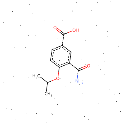 CC(C)Oc1ccc(C(=O)O)cc1C(N)=O